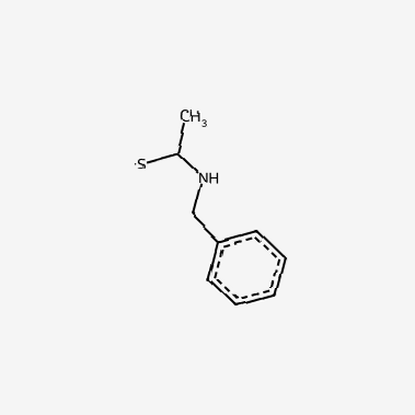 CC([S])NCc1ccccc1